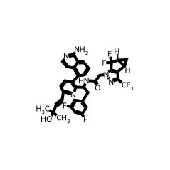 CC(C)(O)C#Cc1ccc(-c2cccc3c(N)nccc23)c(C(Cc2cc(F)cc(F)c2)NC(=O)Cn2nc(C(F)(F)F)c3c2C(F)(F)[C@@H]2C[C@H]32)n1